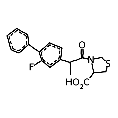 CC(C(=O)N1CSCC1C(=O)O)c1ccc(-c2ccccc2)c(F)c1